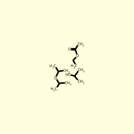 CC(C)O.CC(C)OC(C)C.CCOC(C)=O